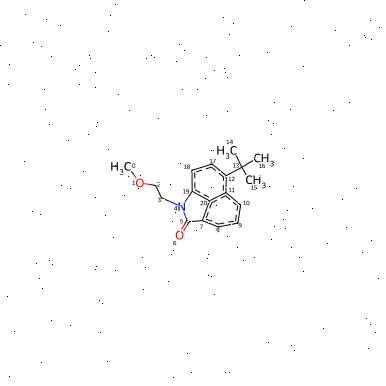 COCCN1C(=O)c2cccc3c(C(C)(C)C)ccc1c23